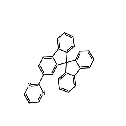 c1cnc(-c2ccc3c(c2)C2(c4ccccc4-c4ccccc42)c2ccccc2-3)nc1